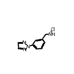 ClNCc1cccc(-n2nccn2)c1